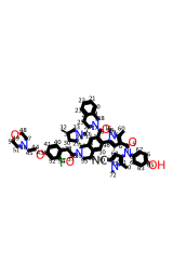 Cc1c(N(C(=O)c2cc(-c3cc4c(cc3C(=O)N3Cc5ccccc5C[C@H]3CN3CC[C@@H](C)C3)CN(C(=O)Cc3ccc(OCCN5CCOCC5)cc3F)CC4)n(C)c2C)c2ccc(O)cc2)cc(C#N)n1C